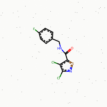 O=C(NCc1ccc(F)cc1)c1snc(Cl)c1Cl